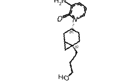 Nc1cccn([C@@H]2CC[C@]3(CCCO)CC3C2)c1=O